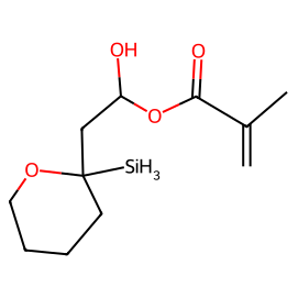 C=C(C)C(=O)OC(O)CC1([SiH3])CCCCO1